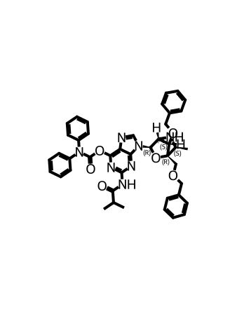 CC(C)C(=O)Nc1nc(OC(=O)N(c2ccccc2)c2ccccc2)c2ncn([C@@H]3O[C@@]4(COCc5ccccc5)[C@H](C)N[C@@H]3[C@@H]4OCc3ccccc3)c2n1